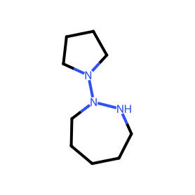 C1CCNN(N2CCCC2)CC1